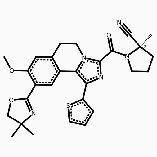 COc1cc2c(cc1C1=NC(C)(C)CO1)-c1c(-c3cccs3)nc(C(=O)N3CCC[C@]3(C)C#N)n1CC2